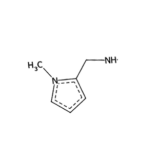 Cn1cccc1C[NH]